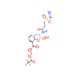 CNS(=O)(=O)CCC(=O)N[C@H]1Cc2cccc(C(=O)OCOC(=O)C(C)(C)C)c2OB1O